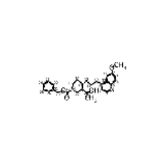 COc1ccc2nccc(CCC[C@@H]3CCN(C(=O)OCc4ccccc4)C[C@@H]3C(C)O)c2c1